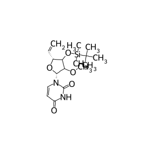 C=C[C@H]1O[C@@H](n2ccc(=O)[nH]c2=O)C(OC)C1O[Si](C)(C)C(C)(C)C